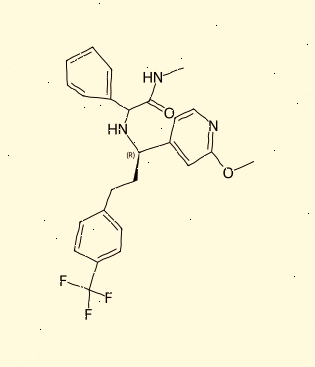 CNC(=O)C(N[C@H](CCc1ccc(C(F)(F)F)cc1)c1ccnc(OC)c1)c1ccccc1